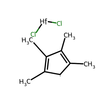 CC1=C(C)C(C)=C(C)[CH]1.[Cl][Hf][Cl]